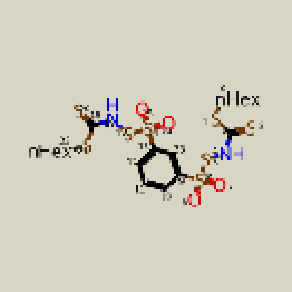 CCCCCCSC(=S)NSS(=O)(=O)c1cccc(S(=O)(=O)SNC(=S)SCCCCCC)c1